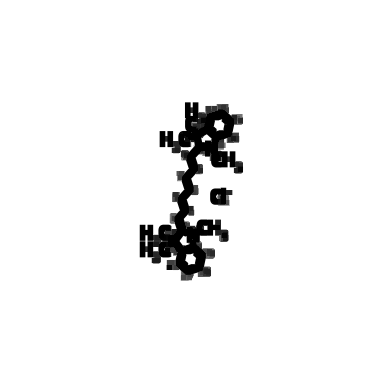 CN1C(=CC=CC=CC=CC2=[N+](C)c3ccccc3C2(C)C)C(C)(C)c2ccccc21.[Cl-]